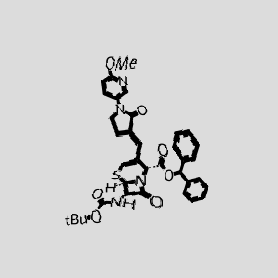 COc1ccc(N2CCC(=CC3=CS[C@@H]4[C@H](NC(=O)OC(C)(C)C)C(=O)N4[C@H]3C(=O)OC(c3ccccc3)c3ccccc3)C2=O)cn1